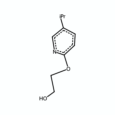 CC(C)c1ccc(OCCO)nc1